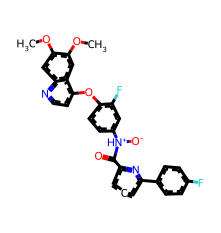 COc1cc2nccc(Oc3ccc([NH+]([O-])C(=O)c4cccc(-c5ccc(F)cc5)n4)cc3F)c2cc1OC